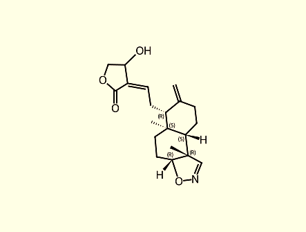 C=C1CC[C@@H]2[C@]3(C)C=NO[C@@H]3CC[C@@]2(C)[C@@H]1CC=C1C(=O)OCC1O